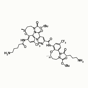 C[C@H]1CCN(C(=O)OC(C)(C)C)N(C(=O)CCCCN)c2cc(C(F)(F)F)cc(NC(=O)c3cc(C(=O)N4c5cc(C(F)(F)F)cc(NC(=O)CCCCN)c5O[C@@H](C)CCN4C(=O)OC(C)(C)C)ncn3)c2O1